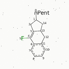 CCCCCC1CC2=C(F)c3ccccc3CC2C1